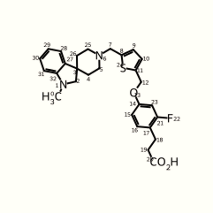 CN1CC2(CCN(Cc3ccc(COc4ccc(CCC(=O)O)c(F)c4)s3)CC2)c2ccccc21